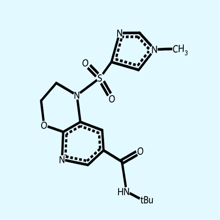 Cn1cnc(S(=O)(=O)N2CCOc3ncc(C(=O)NC(C)(C)C)cc32)c1